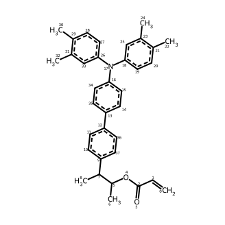 C=CC(=O)OC(C)C(C)c1ccc(-c2ccc(N(c3ccc(C)c(C)c3)c3ccc(C)c(C)c3)cc2)cc1